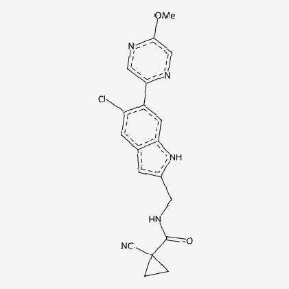 COc1cnc(-c2cc3[nH]c(CNC(=O)C4(C#N)CC4)cc3cc2Cl)cn1